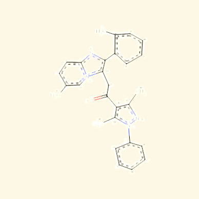 Cc1ccc2nc(-c3ccccc3C)c(CC(=O)c3c(C)nn(-c4ccccc4)c3C)n2c1